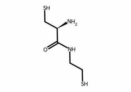 N[C@H](CS)C(=O)NCCS